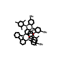 Cc1cc(C)c(B2c3cc(C(C)(C)C)ccc3N3c4ccc(C(C)(C)C)cc4B(c4c(C)cc(C)cc4C)c4cc(-n5c6ccccc6c6cccc(-n7c8ccc(C(C)(C)C)cc8c8cc(C(C)(C)C)ccc87)c65)cc2c43)c(C)c1